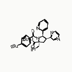 CC(C)C[C@@]1(C(=O)OC(C)(C)C)C[C@H](c2cnccn2)[C@H](c2ccccn2)N1C(=O)c1ccc(C(C)(C)C)cc1